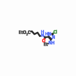 CCNc1nc(Cl)[nH]c1C(=O)NCCCCC(=O)OCC